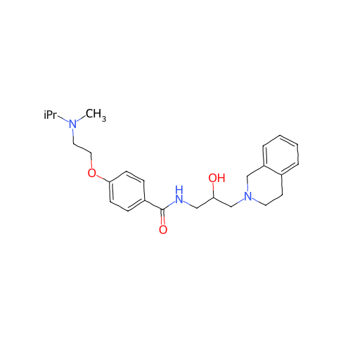 CC(C)N(C)CCOc1ccc(C(=O)NCC(O)CN2CCc3ccccc3C2)cc1